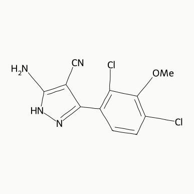 COc1c(Cl)ccc(-c2n[nH]c(N)c2C#N)c1Cl